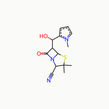 Cn1cccc1C(O)C1C(=O)N2C1SC(C)(C)C2C#N